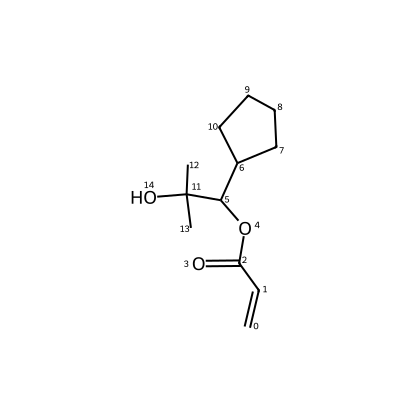 C=CC(=O)OC(C1CCCC1)C(C)(C)O